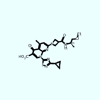 CCOC[C@@H](C)NC(=O)C1CN(c2cc(C)c3c(=O)c(C(=O)O)cn(-c4nc(C5CC5)ns4)c3n2)C1